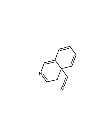 O=CC12C=CC=CC1=CN=CC2